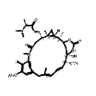 COc1cc2cc(c1Cl)N(C)C(=O)C[C@H](COC(=O)[C@H](C)N(C)C)[C@]1(C)C[C@@H]1[C@H](C)C1C[C@@](O)(NC(=O)O1)[C@H](OC)/C=C/C=C(\C)C2